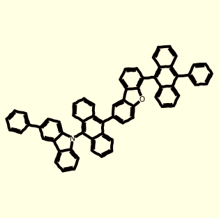 c1ccc(-c2ccc3c(c2)c2ccccc2n3-c2c3ccccc3c(-c3ccc4oc5c(-c6c7ccccc7c(-c7ccccc7)c7ccccc67)cccc5c4c3)c3ccccc23)cc1